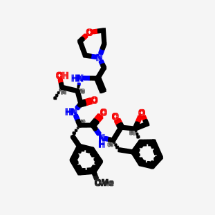 C=C(CN1CCOCC1)N[C@H](C(=O)N[C@@H](Cc1ccc(OC)cc1)C(=O)N[C@@H](Cc1ccccc1)C(=O)[C@]1(C)CO1)[C@H](C)O